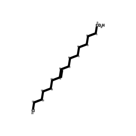 O=C(O)CCCCCCCC=CCCCCCCl